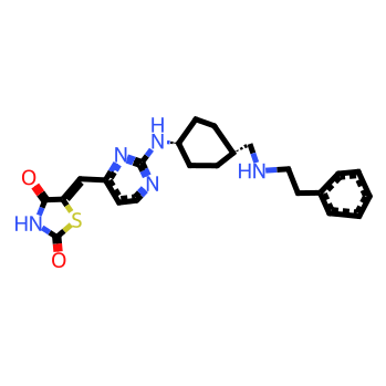 O=C1NC(=O)/C(=C/c2ccnc(N[C@H]3CC[C@@H](CNCCc4ccccc4)CC3)n2)S1